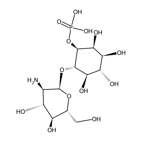 N[C@H]1[C@@H](O[C@H]2[C@H](O)[C@@H](O)[C@H](O)[C@H](O)[C@@H]2OP(=O)(O)O)O[C@H](CO)[C@@H](O)[C@@H]1O